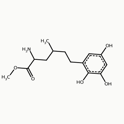 COC(=O)C(N)CC(C)CCc1cc(O)cc(O)c1O